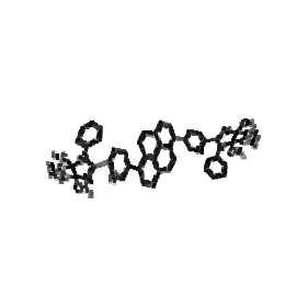 CC1(C)N=C(c2ccc(-c3ccc4ccc5c(-c6ccc(C7=NC(C)(C)C(C)(C)N7c7ccccc7)nc6)ccc6ccc3c4c65)cn2)N(c2ccccc2)C1(C)C